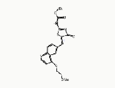 COCCOc1ccnc2ccc(/C=C3\SC(NC(=O)OC(C)(C)C)=NC3=O)cc12